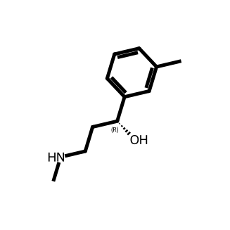 CNCC[C@@H](O)c1cccc(C)c1